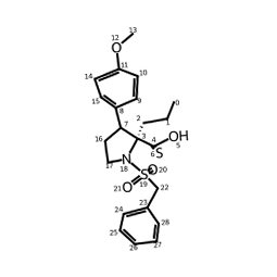 CCC[C@@]1(C(O)=S)C(c2ccc(OC)cc2)CCN1S(=O)(=O)Cc1ccccc1